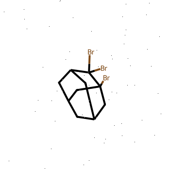 BrC12CC3CC(CC(C3)C1(Br)Br)C2